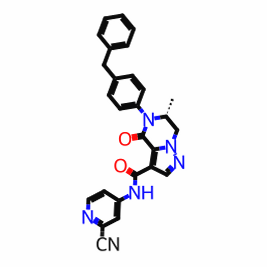 C[C@@H]1Cn2ncc(C(=O)Nc3ccnc(C#N)c3)c2C(=O)N1c1ccc(Cc2ccccc2)cc1